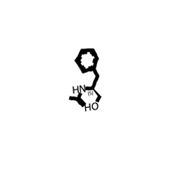 C=C(C)N[C@H](CO)Cc1ccccc1